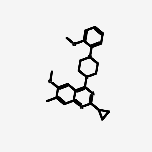 COc1cc2c(N3CCN(c4ccccc4OC)CC3)nc(C3CC3)nc2cc1C